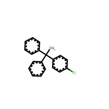 CC(c1cc[c]cc1)(c1cc[c]cc1)c1ccc(Cl)cc1